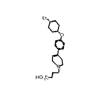 CC[C@H]1CC[C@@H](Oc2ccc(C3=CCN(CCCC(=O)O)CC3)cc2)CC1